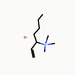 C=CC(CCCC)[N+](C)(C)C.[Br-]